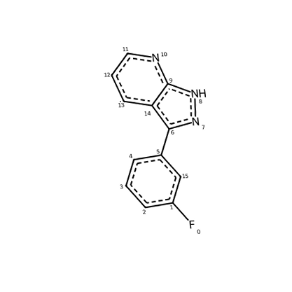 Fc1cccc(-c2n[nH]c3ncc[c]c23)c1